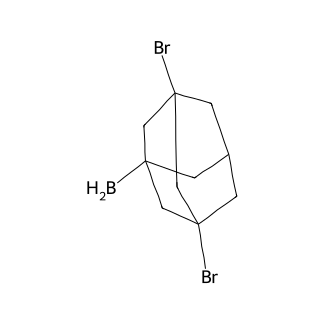 BC12CC3CC(Br)(C1)CC(Br)(C3)C2